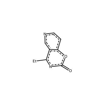 CCc1nc(=O)oc2ccncc12